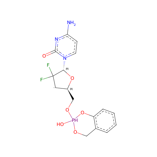 Nc1ccn([C@@H]2O[C@@H](CO[PH]3(O)OCc4ccccc4O3)[CH]C2(F)F)c(=O)n1